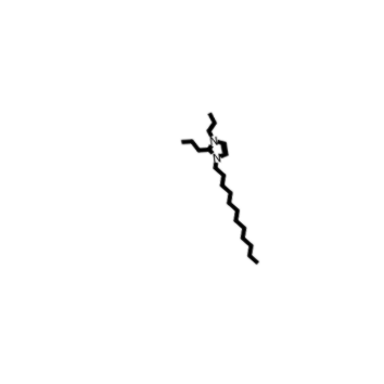 CCCCCCCCCCCCN1C=CN(CCC)C1CCC